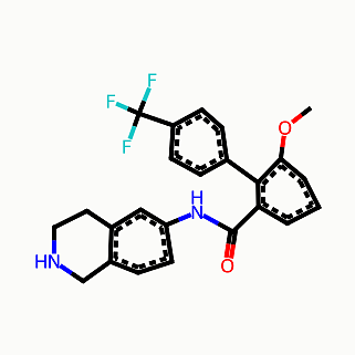 COc1cccc(C(=O)Nc2ccc3c(c2)CCNC3)c1-c1ccc(C(F)(F)F)cc1